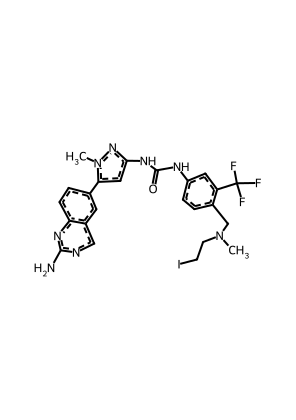 CN(CCI)Cc1ccc(NC(=O)Nc2cc(-c3ccc4nc(N)ncc4c3)n(C)n2)cc1C(F)(F)F